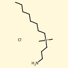 CCCCCCCC[N+](C)(C)CCCN.[Cl-]